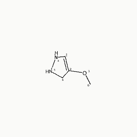 COC1=[C]NNC1